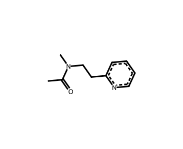 CC(=O)N(C)CCc1ccccn1